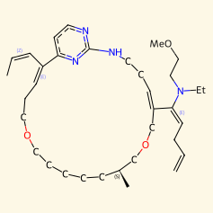 C=CC/C=C(\C1=CCCNc2nccc(n2)C(/C=C\C)=C/CCOCCCCC[C@H](C)COC1)N(CC)CCOC